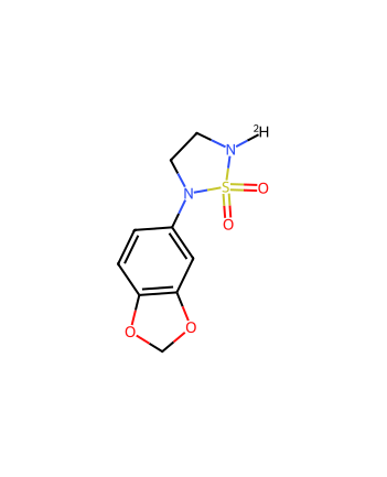 [2H]N1CCN(c2ccc3c(c2)OCO3)S1(=O)=O